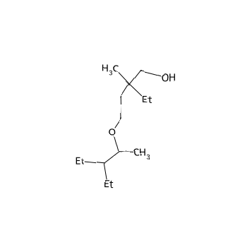 CCC(CC)C(C)OCCC(C)(CC)CO